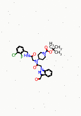 CC(C)(C)OC(=O)N1CCC(N(CC(=O)NCc2cccc(Cl)c2F)C(=O)Cn2nc(C=O)c3ccccc32)CC1